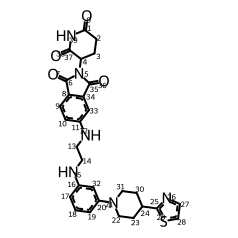 O=C1CCC(N2C(=O)c3ccc(NCCNc4cccc(N5CCC(c6nccs6)CC5)c4)cc3C2=O)C(=O)N1